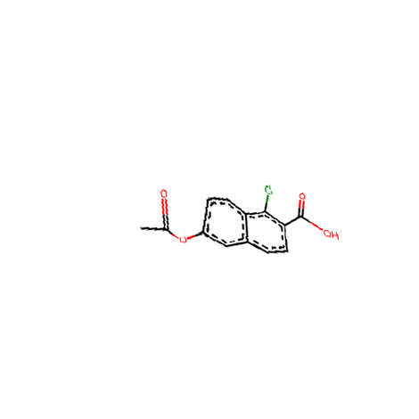 CC(=O)Oc1ccc2c(Cl)c(C(=O)O)ccc2c1